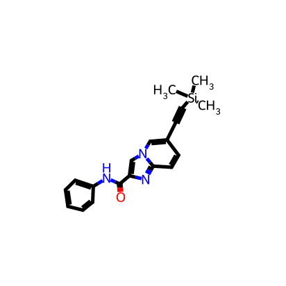 C[Si](C)(C)C#Cc1ccc2nc(C(=O)Nc3ccccc3)cn2c1